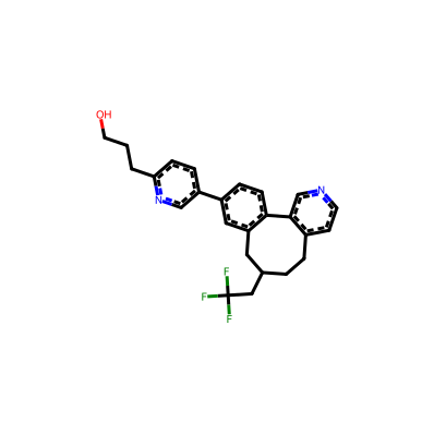 OCCCc1ccc(-c2ccc3c(c2)CC(CC(F)(F)F)CCc2ccncc2-3)cn1